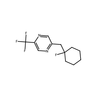 FC1(Cc2cnc(C(F)(F)F)cn2)CCCCC1